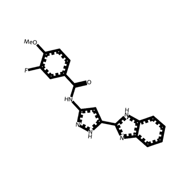 COc1ccc(C(=O)Nc2cc(-c3nc4ccccc4[nH]3)[nH]n2)cc1F